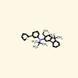 CCc1cc2c(cc1N(c1cccc(-c3ccccc3)c1)C(C)(C)C)-c1ccccc1C2(C)C